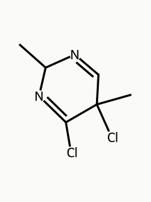 CC1N=CC(C)(Cl)C(Cl)=N1